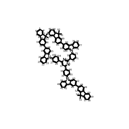 CC1(C)c2ccccc2-c2ccc(-c3ccc4c(c3)c3ccccc3n4-c3ccc(-c4cc(-c5ccc(-n6c7ccccc7c7cc(-c8ccc9c(c8)C(C)(C)c8ccccc8-9)ccc76)cc5)nc(-c5cccc(-n6c7ccccc7c7cc(-c8ccc9c(c8)C(C)(C)c8ccccc8-9)ccc76)c5)n4)cc3)cc21